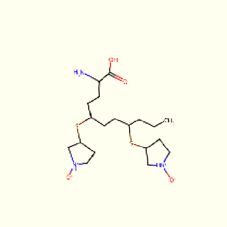 CCCC(CCC(CCC(N)C(=O)O)SC1CC[NH+]([O-])C1)SC1CC[NH+]([O-])C1